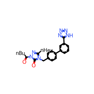 CCCCCCc1nn(C(=O)CCCC)c(=O)n1Cc1ccc(-c2cccc(-c3nnn[nH]3)c2)cc1